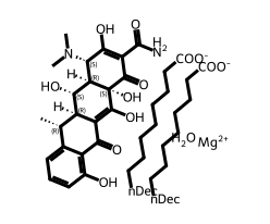 CCCCCCCCCCCCCCCCCC(=O)[O-].CCCCCCCCCCCCCCCCCC(=O)[O-].C[C@H]1c2cccc(O)c2C(=O)C2=C(O)[C@]3(O)C(=O)C(C(N)=O)=C(O)[C@@H](N(C)C)[C@@H]3[C@@H](O)[C@@H]21.O.[Mg+2]